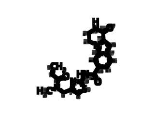 C=CC(=O)N(C)Cc1csc(NC(=O)c2ccc3cc4n(c3c2)CCNC4=O)n1